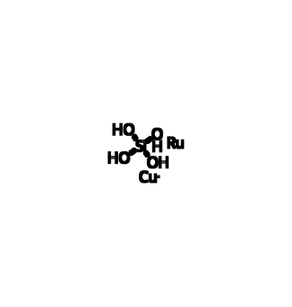 O[Si](O)(O)O.[Cu].[Ru]